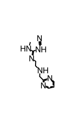 CNC(=NCCNCc1ncccn1)NC#N